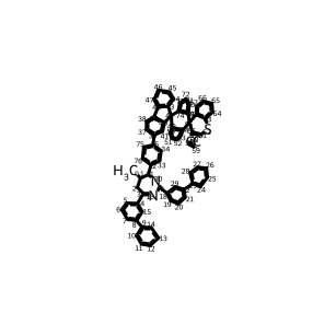 CC1CC(c2cccc(-c3ccccc3)c2)=NC(c2cccc(-c3ccccc3)c2)=NC1c1ccc(-c2ccc3c(c2)C2(c4ccccc4-3)c3ccccc3C3(c4ccccc4Sc4ccccc43)c3ccccc32)cc1